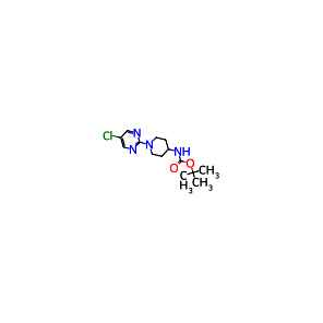 CC(C)(C)OC(=O)NC1CCN(c2ncc(Cl)cn2)CC1